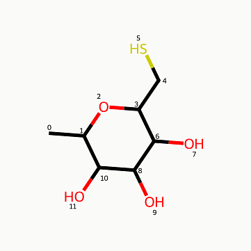 CC1OC(CS)C(O)C(O)C1O